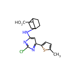 Cc1ccc(-c2cc(NC3C4CCC(CC4)C3C(=O)O)nc(Cl)n2)s1